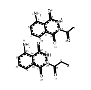 CC(=O)n1[nH]c(=O)c2c(N)cccc2c1=O.CCC(=O)n1[nH]c(=O)c2c(N)cccc2c1=O